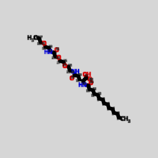 CCCCCCCCCCCCCCC(=O)N[C@@H](CCC(=O)NCCOCCOCC(=O)NCCOCCC)C(=O)O